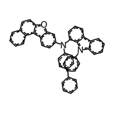 c1ccc(-c2ccc(N(c3ccc4c(c3)oc3ccc5ccccc5c34)c3cccc4c5ccccc5n(-c5ccccc5)c34)cc2)cc1